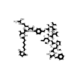 CC[C@H](C)[C@@H]([C@@H](CC(=O)N1CCC[C@H]1[C@H](OC)[C@@H](C)C(=O)N[C@@H](Cc1ccccc1)C(=O)O)OC)N(C)C(=O)[C@@H](NC(=O)[C@H](C(C)C)N(C)C(=O)OCc1ccc(NC(=O)[C@H](CCCNC(N)O)NC(=O)[C@@H](NC(=O)CCCCCN2C(=O)CCC2=O)C(C)C)cc1)C(C)C